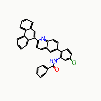 O=C(Nc1cc(Cl)ccc1-c1ccc2nc(-c3cc4ccccc4c4ccccc34)ccc2c1)c1ccccc1